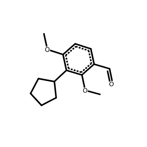 COc1ccc(C=O)c(OC)c1C1CCCC1